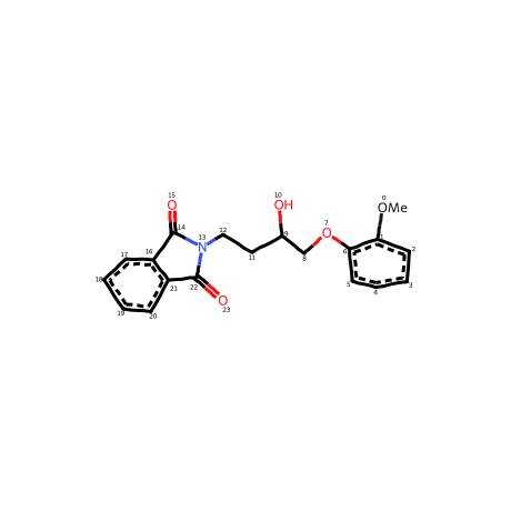 COc1ccccc1OCC(O)CCN1C(=O)c2ccccc2C1=O